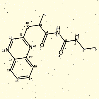 CCNC(=O)NC(=O)C(C)Sc1cnc2ccccc2n1